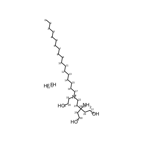 CCCCCCCCCCCCCCCCCCN(CCO)CCC(N)(CCO)CCO.F.F